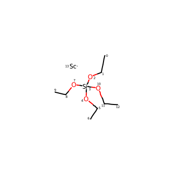 CCO[Si](OCC)(OCC)OCC.[Sc]